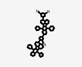 N#Cc1cc(C#N)cc(-c2ccc3c4c(cccc24)-c2c-3c(-c3ccccc3)c3cc(-c4ccc(-c5ccc6c7c(cccc57)-c5c-6c(-c6ccccc6)c6ccccc6c5-c5ccccc5)c(C#N)c4)ccc3c2-c2ccccc2)c1